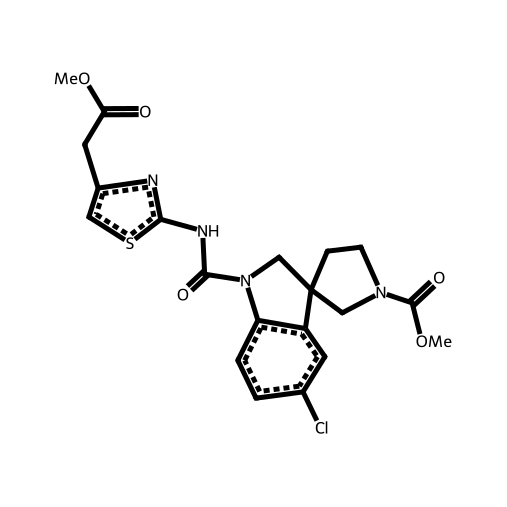 COC(=O)Cc1csc(NC(=O)N2CC3(CCN(C(=O)OC)C3)c3cc(Cl)ccc32)n1